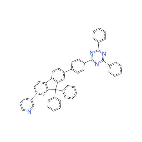 c1ccc(-c2nc(-c3ccccc3)nc(-c3ccc(-c4ccc5c(c4)C(c4ccccc4)(c4ccccc4)c4cc(-c6cccnc6)ccc4-5)cc3)n2)cc1